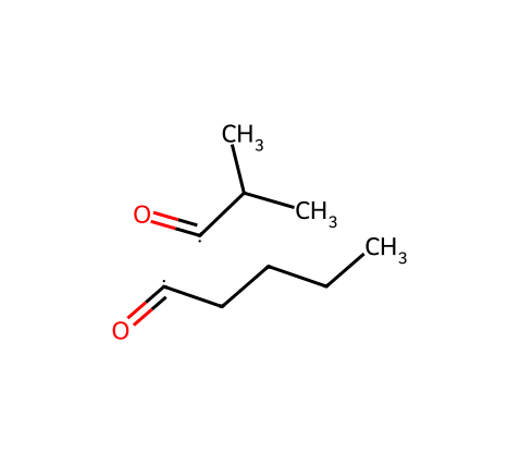 CC(C)[C]=O.CCCC[C]=O